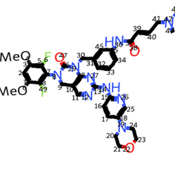 COc1cc(OC)c(F)c(N2Cc3cnc(Nc4ccc(N5CCOCC5)cn4)nc3N(Cc3cccc(NC(=O)/C=C/CN(C)C)c3)C2=O)c1F